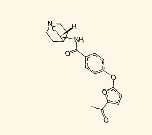 CC(=O)c1ccc(Oc2ccc(C(=O)N[C@H]3CN4CCC3CC4)cc2)o1